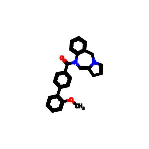 COc1ccccc1-c1ccc(C(=O)N2C=C3CC=CN3Cc3ccccc32)cc1